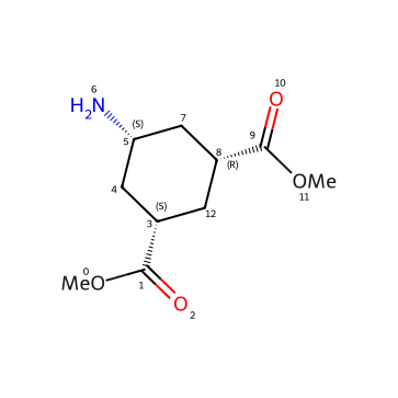 COC(=O)[C@@H]1C[C@H](N)C[C@H](C(=O)OC)C1